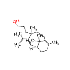 C=C(C)[C@H]1C[C@@H]2CCC(C)=C(CC[C@]1(C)CCCO)C2(C)C